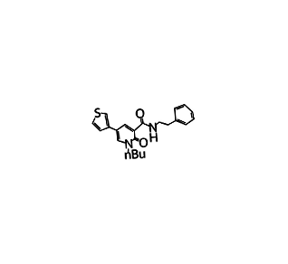 CCCCn1cc(-c2ccsc2)cc(C(=O)NCCc2ccccc2)c1=O